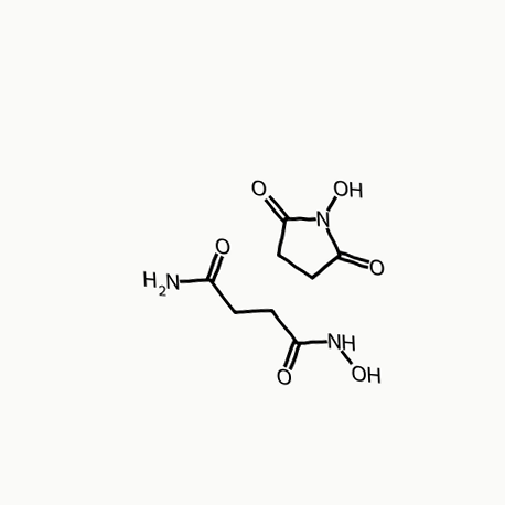 NC(=O)CCC(=O)NO.O=C1CCC(=O)N1O